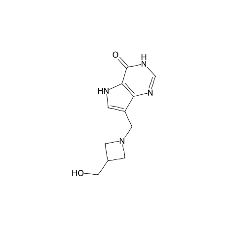 O=c1[nH]cnc2c(CN3CC(CO)C3)c[nH]c12